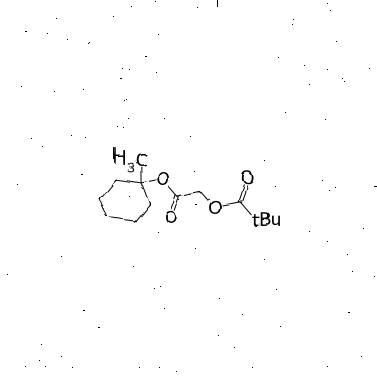 CC1(OC(=O)COC(=O)C(C)(C)C)CCCCC1